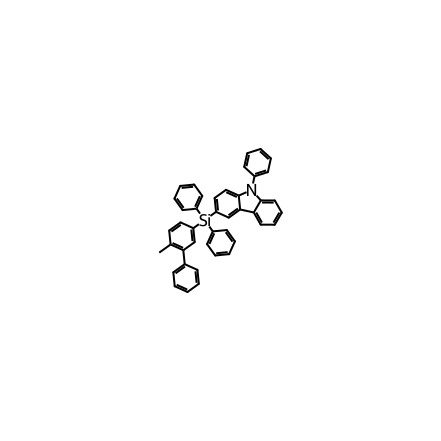 Cc1ccc([Si](c2ccccc2)(c2ccccc2)c2ccc3c(c2)c2ccccc2n3-c2ccccc2)cc1-c1ccccc1